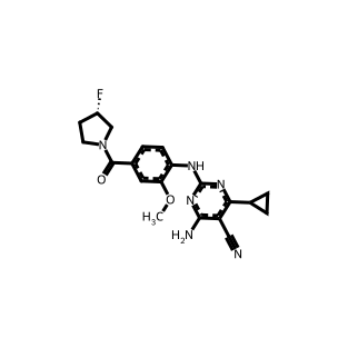 COc1cc(C(=O)N2CC[C@H](F)C2)ccc1Nc1nc(N)c(C#N)c(C2CC2)n1